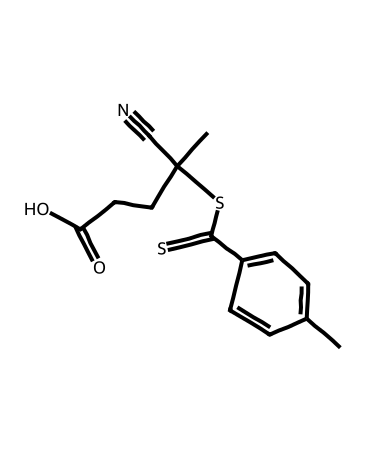 Cc1ccc(C(=S)SC(C)(C#N)CCC(=O)O)cc1